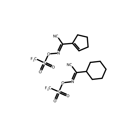 N#CC(=NOS(=O)(=O)C(F)(F)F)C1=CCCC1.N#CC(=NOS(=O)(=O)C(F)(F)F)C1CCCCC1